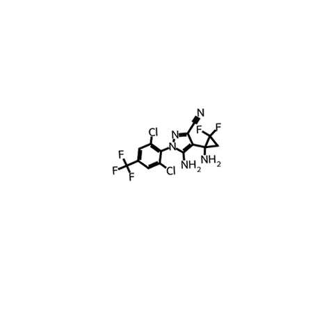 N#Cc1nn(-c2c(Cl)cc(C(F)(F)F)cc2Cl)c(N)c1C1(N)CC1(F)F